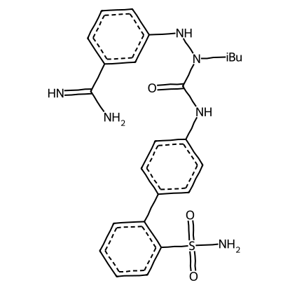 CCC(C)N(Nc1cccc(C(=N)N)c1)C(=O)Nc1ccc(-c2ccccc2S(N)(=O)=O)cc1